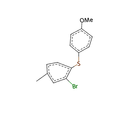 COc1ccc(Sc2ccc(C)cc2Br)cc1